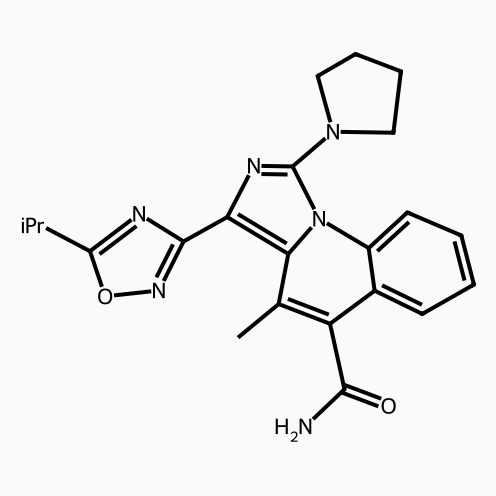 Cc1c(C(N)=O)c2ccccc2n2c(N3CCCC3)nc(-c3noc(C(C)C)n3)c12